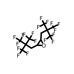 FC(F)(F)C(CC1OC1CC(C(F)(F)F)(C(F)(F)F)C(F)(F)F)(C(F)(F)F)C(F)(F)F